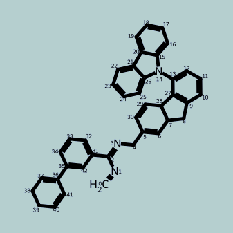 C=N/C(=N\CC1=CC2Cc3cccc(-n4c5ccccc5c5ccccc54)c3C2C=C1)c1cccc(C2=CCCC=C2)c1